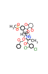 CS(=O)(=O)c1ccc(C(=O)C2C(=O)CCCC2=O)c([N+](=O)[O-])c1.Cc1nn(C)c(OCC(=O)c2ccccc2)c1C(=O)c1ccc(Cl)cc1Cl